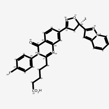 C[C@]1(c2cc3ccccn3n2)CC(c2ccc3c(=O)n(-c4ccc(F)cc4)c(CCCCC(=O)O)nc3c2)=NO1